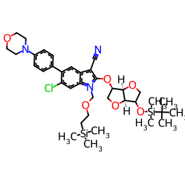 CC(C)(C)[Si](C)(C)OC1CO[C@H]2[C@@H]1OC[C@H]2Oc1c(C#N)c2cc(-c3ccc(N4CCOCC4)cc3)c(Cl)cc2n1COCC[Si](C)(C)C